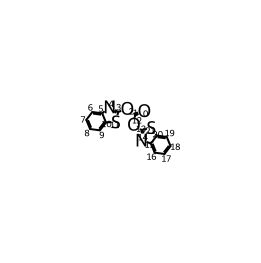 O=C(Oc1nc2ccccc2s1)Oc1nc2ccccc2s1